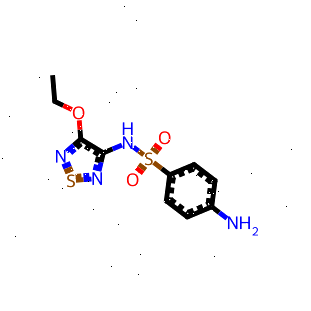 CCOc1nsnc1NS(=O)(=O)c1ccc(N)cc1